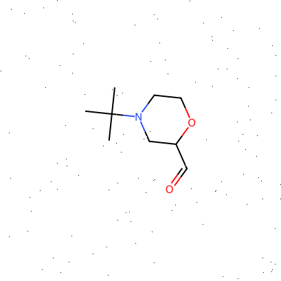 CC(C)(C)N1CCOC(C=O)C1